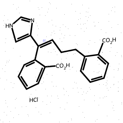 Cl.O=C(O)c1ccccc1CC/C=C(/c1c[nH]cn1)c1ccccc1C(=O)O